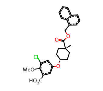 COc1c(Cl)cc(O[C@H]2CC[C@@](C)(C(=O)OCc3cccc4ccccc34)CC2)cc1C(=O)O